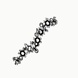 C[C@H]1CN(C(=O)c2cc3ccc(Oc4ccc(N(C)C(=O)c5ccc(OC(F)(F)F)cc5)cn4)cc3n2C)CCN1Cc1ccc(OCC(F)(F)F)cc1